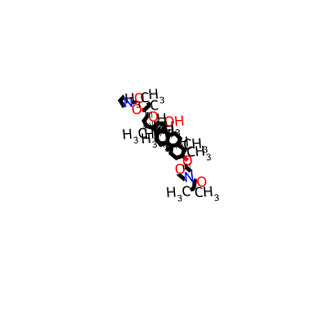 CC(C)C(=O)N1CCO[C@@H](OC2CCC34C[C@]35CC[C@]3(C)[C@@H]6[C@H](O[C@@H](C(OC(=O)N7CCC7)C(C)C)C[C@H]6C)[C@H](O)[C@@]3(C)[C@@H]5CC[C@H]4C2(C)C)C1